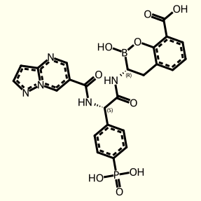 O=C(N[C@H](C(=O)N[C@H]1Cc2cccc(C(=O)O)c2OB1O)c1ccc(P(=O)(O)O)cc1)c1cnc2ccnn2c1